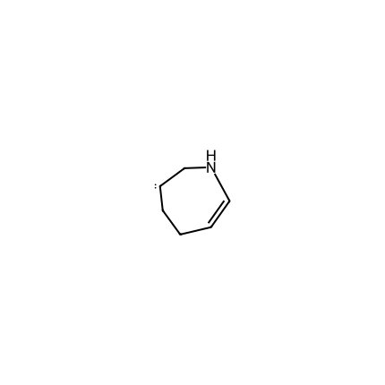 [C]1CCC=CNC1